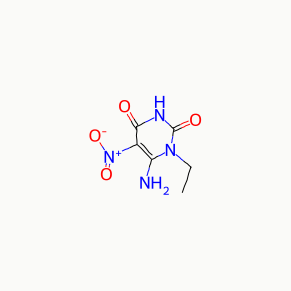 CCn1c(N)c([N+](=O)[O-])c(=O)[nH]c1=O